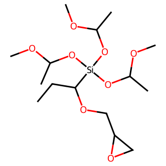 CCC(OCC1CO1)[Si](OC(C)OC)(OC(C)OC)OC(C)OC